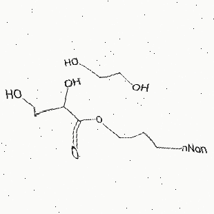 CCCCCCCCCCCCOC(=O)C(O)CO.OCCO